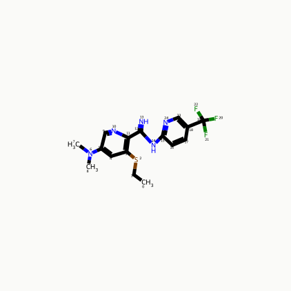 CCSc1cc(N(C)C)cnc1C(=N)Nc1ccc(C(F)(F)F)cn1